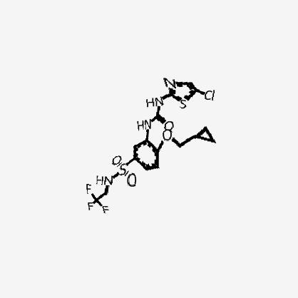 O=C(Nc1ncc(Cl)s1)Nc1cc(S(=O)(=O)NCC(F)(F)F)ccc1OCC1CC1